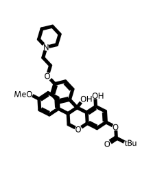 COc1ccc(C2COc3cc(OC(=O)C(C)(C)C)cc(O)c3C2(O)c2ccc(OCCN3CCCCC3)cc2)cc1